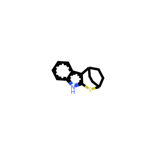 c1ccc2c3c([nH]c2c1)SC1CCC3CC1